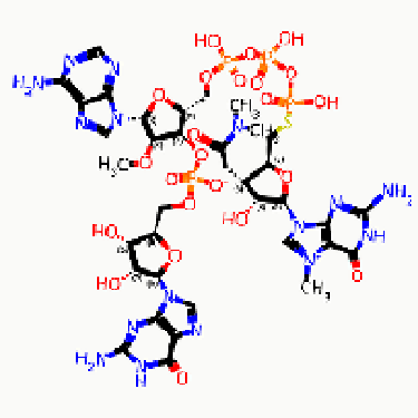 CO[C@@H]1[C@H](OP(=O)([O-])OC[C@H]2O[C@@H](n3cnc4c(=O)[nH]c(N)nc43)[C@H](O)[C@@H]2O)[C@@H](COP(=O)(O)OP(=O)(O)OP(=O)(O)SC[C@H]2O[C@@H](n3c[n+](C)c4c(=O)[nH]c(N)nc43)[C@H](O)[C@@H]2CC(=O)N(C)C)O[C@H]1n1cnc2c(N)ncnc21